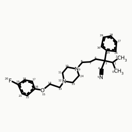 CC(C)C(C#N)(CCCN1CCN(CCOc2ccc(F)cc2)CC1)c1ccccc1